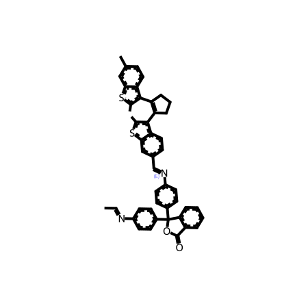 CC=Nc1ccc(C2(c3ccc(/N=C/c4ccc5c(C6=C(c7c(C)sc8cc(C)ccc78)CCC6)c(C)sc5c4)cc3)OC(=O)c3ccccc32)cc1